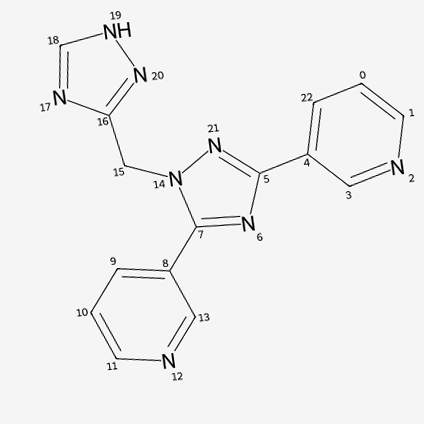 c1cncc(-c2nc(-c3cccnc3)n(Cc3nc[nH]n3)n2)c1